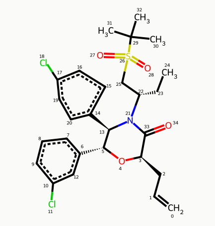 C=CC[C@H]1O[C@H](c2cccc(Cl)c2)[C@@H](c2ccc(Cl)cc2)N([C@@H](CC)CS(=O)(=O)C(C)(C)C)C1=O